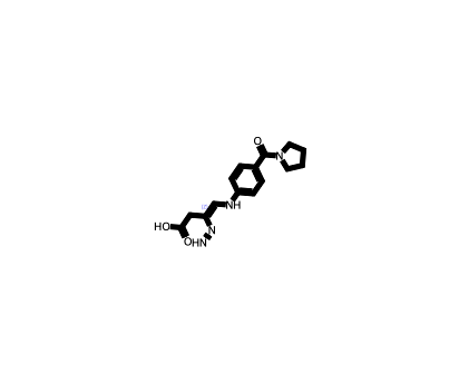 N=N/C(=C\Nc1ccc(C(=O)N2CCCC2)cc1)CC(=O)O